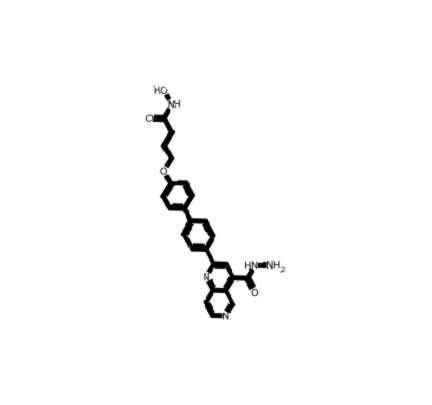 NNC(=O)c1cc(-c2ccc(-c3ccc(OCCCC(=O)NO)cc3)cc2)nc2ccncc12